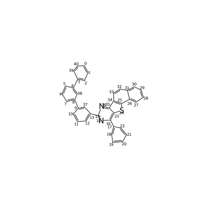 c1ccc(-c2cccc(-c3cccc(-c4nc(-c5ccccc5)c5sc6c7ccccc7ccc6c5n4)c3)c2)cc1